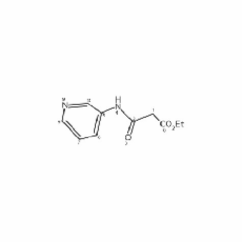 CCOC(=O)CC(=O)Nc1cccnc1